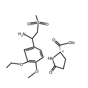 CCOc1cc(C(N)CS(C)(=O)=O)ccc1OC.O=C1CC[C@@H](C(=O)O)N1